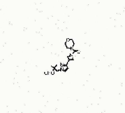 CC(C)(C=O)Cn1ccc(C2CN(C(=O)N3CCOCC3)C2)n1